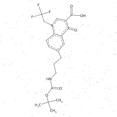 CC(C)(C)OC(=O)NCCCc1ccc2c(c1)c(=O)c(C(=O)O)cn2CC(F)(F)F